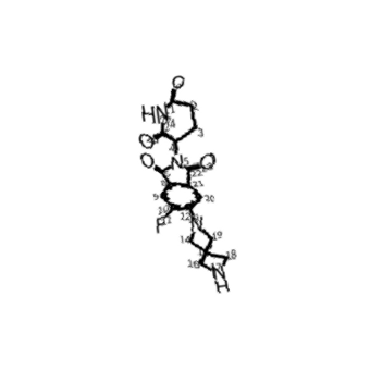 O=C1CCC(N2C(=O)c3cc(F)c(N4CC5(CNC5)C4)cc3C2=O)C(=O)N1